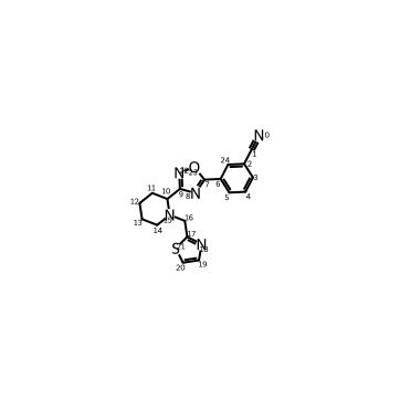 N#Cc1cccc(-c2nc(C3CCCCN3Cc3nccs3)no2)c1